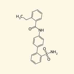 CCc1ccccc1C(=O)Nc1ccc(-c2ccccc2S(N)(=O)=O)cc1